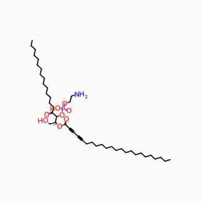 CCCCCCCCCCCCCCCCCCC#CC#CC(=O)O[C@@H](CO)C(OP(=O)(O)OCCN)C(=O)CCCCCCCCCCCCCCC